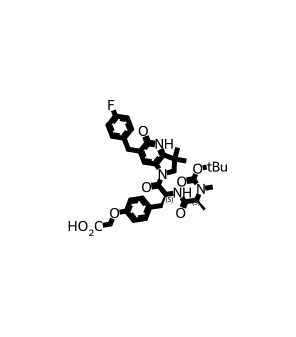 C[C@@H](C(=O)N[C@@H](Cc1ccc(OCC(=O)O)cc1)C(=O)N1CC(C)(C)c2[nH]c(=O)c(Cc3ccc(F)cc3)cc21)N(C)C(=O)OC(C)(C)C